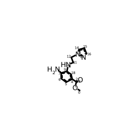 COC(=O)c1ccc(N)c(NCCn2cccn2)c1